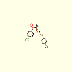 O=C(c1ccc(Cl)cc1)C1(SCCSc2ccc(Cl)cc2)CC1